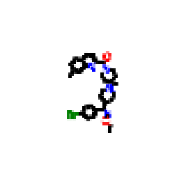 CCO/N=C(\c1ccc(Br)cc1)C1CCN(C2(C)CCN(C(=O)c3ccc4ccc(C)cc4n3)CC2)CC1